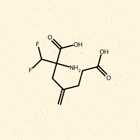 C=C(CCC(=O)O)CC(N)(C(=O)O)C(F)F